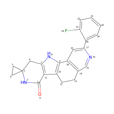 O=C1NC2(CC2)Cc2[nH]c3c(c21)CCc1cnc(-c2ccccc2F)cc1-3